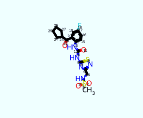 CS(=O)(=O)NCc1nsc(NC(=O)Nc2ccc(F)cc2C(=O)C2CCCC2)n1